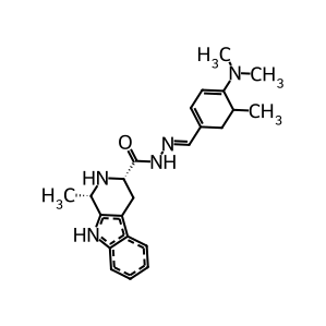 CC1CC(/C=N/NC(=O)[C@@H]2Cc3c([nH]c4ccccc34)[C@H](C)N2)=CC=C1N(C)C